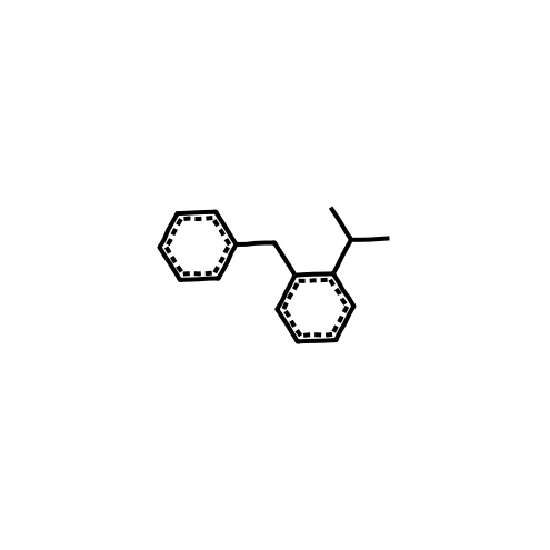 C[C](C)c1ccccc1Cc1ccccc1